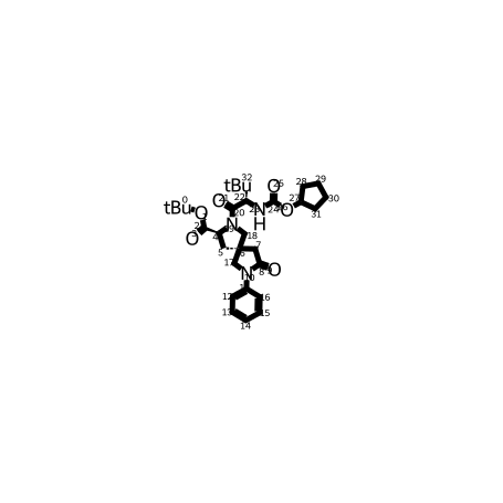 CC(C)(C)OC(=O)[C@@H]1C[C@@]2(CC(=O)N(c3ccccc3)C2)CN1C(=O)[C@@H](NC(=O)OC1CCCC1)C(C)(C)C